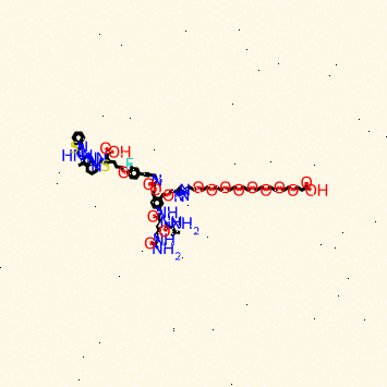 Cc1c(Nc2nc3ccccc3s2)nnc2c1CCCN2c1nc(C(=O)O)c(CCCOc2ccc(C#CCN(C)C(=O)OCc3ccc(NC(=O)[C@H](CCCNC(N)=O)NC(=O)[C@@H](N)C(C)C)cc3COCc3cn(CCOCCOCCOCCOCCOCCOCCOCCOCCC(=O)O)nn3)cc2F)s1